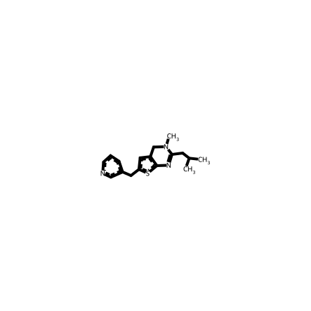 CC(C)CC1=Nc2sc(Cc3cccnc3)cc2CN1C